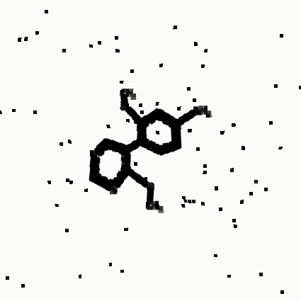 COc1cc(N)ccc1-c1cncnc1OC